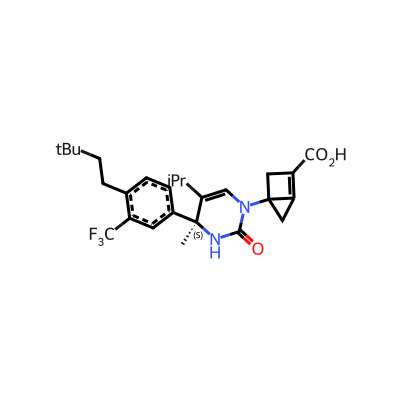 CC(C)C1=CN(C23CC(C(=O)O)=C2C3)C(=O)N[C@@]1(C)c1ccc(CCC(C)(C)C)c(C(F)(F)F)c1